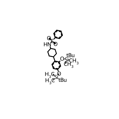 CC(C)(C)[Si](C)(C)Oc1ccc(C2CCC(NS(=O)(=O)c3ccccc3)CC2)c(O[Si](C)(C)C(C)(C)C)c1